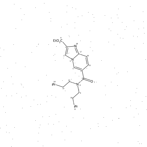 CCOC(=O)c1cn2cc(C(=O)N(CCC(C)C)CCC(C)C)ccc2n1